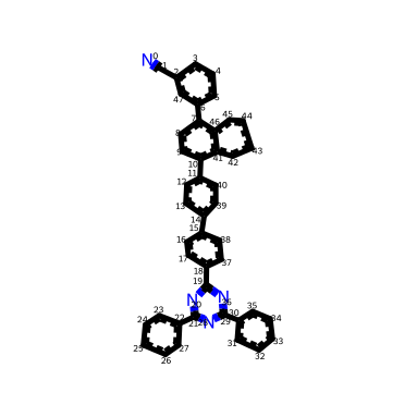 N#Cc1cccc(-c2ccc(-c3ccc(-c4ccc(-c5nc(-c6ccccc6)nc(-c6ccccc6)n5)cc4)cc3)c3ccccc23)c1